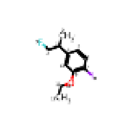 [CH2]C(CF)c1ccc(I)c(OCC)c1